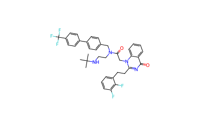 CC(C)(C)NCCN(Cc1ccc(-c2ccc(C(F)(F)F)cc2)cc1)C(=O)Cn1c(CCc2cccc(F)c2F)nc(=O)c2ccccc21